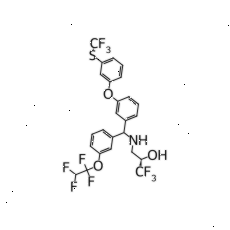 O[C@H](CNC(c1cccc(Oc2cccc(SC(F)(F)F)c2)c1)c1cccc(OC(F)(F)C(F)F)c1)C(F)(F)F